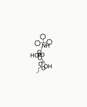 CCCC(=O)O[C@@H](CO)COP(=O)(O)OCCNC(c1ccccc1)(c1ccccc1)c1ccccc1